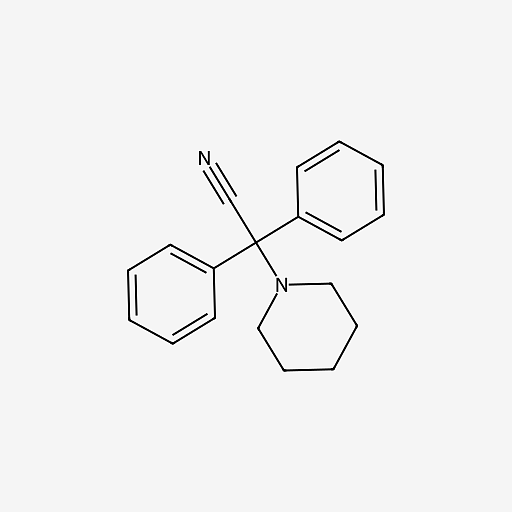 N#CC(c1ccccc1)(c1ccccc1)N1CCCCC1